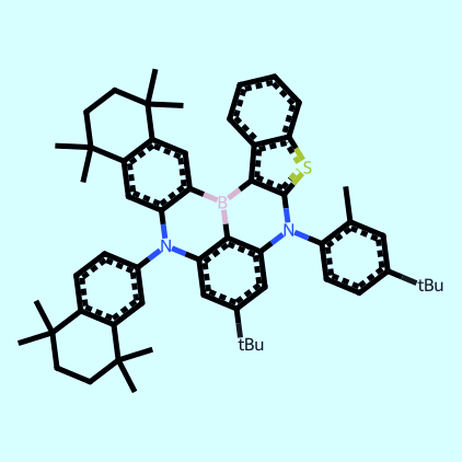 Cc1cc(C(C)(C)C)ccc1N1c2cc(C(C)(C)C)cc3c2B(c2cc4c(cc2N3c2ccc3c(c2)C(C)(C)CCC3(C)C)C(C)(C)CCC4(C)C)c2c1sc1ccccc21